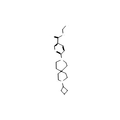 CCC(C)CNC(=O)c1ccc(N2CCC3(CC2)CCN(C2CCC2)CC3)nc1